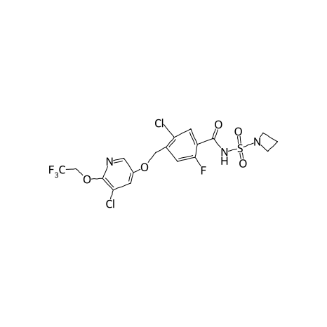 O=C(NS(=O)(=O)N1CCC1)c1cc(Cl)c(COc2cnc(OCC(F)(F)F)c(Cl)c2)cc1F